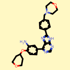 Nc1cc(-c2ncnc3[nH]c(-c4ccc(CN5CCOCC5)cc4)nc23)ccc1OC1CCOCC1